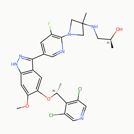 COc1cc2[nH]nc(-c3cnc(N4CC(C)(NC[C@H](C)O)C4)c(F)c3)c2cc1O[C@H](C)c1c(Cl)cncc1Cl